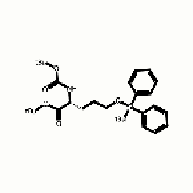 CC(C)(C)OC(=O)N[C@H](CCCO[Si](c1ccccc1)(c1ccccc1)C(C)(C)C)C(=O)OC(C)(C)C